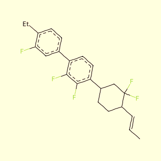 C/C=C/C1CCC(c2ccc(-c3ccc(CC)c(F)c3)c(F)c2F)CC1(F)F